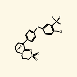 O=S1(=O)CCN2C(=N1)C1(c3ccc(Oc4ccc(Cl)c(C(F)(F)F)c4)cc3)CCC2CC1